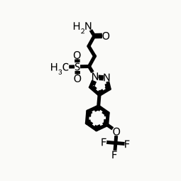 CS(=O)(=O)C(CCC(N)=O)n1cc(-c2cccc(OC(F)(F)F)c2)cn1